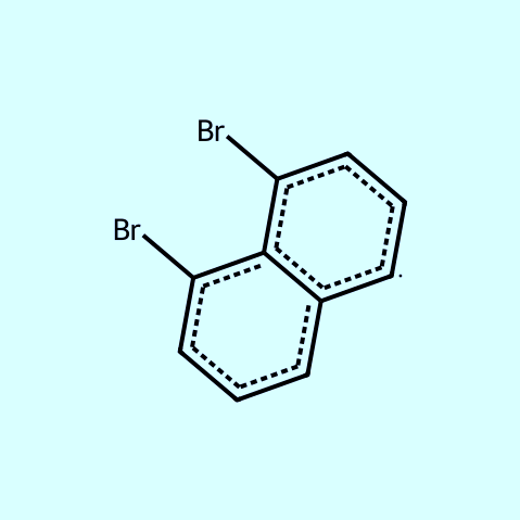 Brc1cc[c]c2cccc(Br)c12